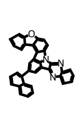 c1ccc2c(-c3cc4c5nc6ccccc6nc5n5c6ccc7oc8ccccc8c7c6c(c3)c45)cccc2c1